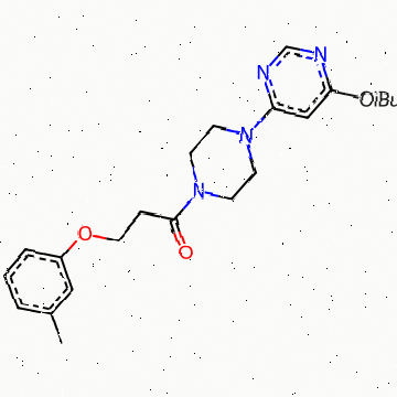 Cc1cccc(OCCC(=O)N2CCN(c3cc(OCC(C)C)ncn3)CC2)c1